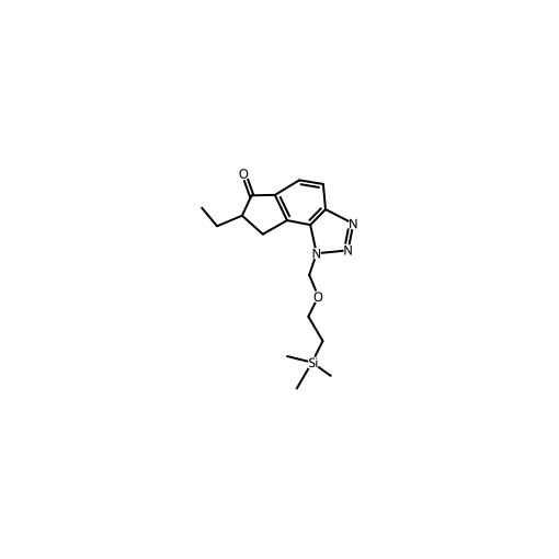 CCC1Cc2c(ccc3nnn(COCC[Si](C)(C)C)c23)C1=O